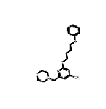 Cc1cc(CN2CCOCC2)nc(SCCCCOc2ccccc2)n1